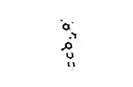 C#Cc1cc(Nc2ncc(Br)c(Nc3ccc4c(c3P(C)(C)=O)OCO4)n2)c(OC)cc1N1CCC(N2CCN(C)CC2)CC1